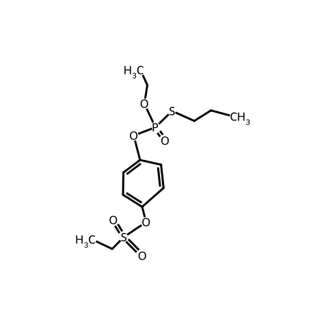 CCCSP(=O)(OCC)Oc1ccc(OS(=O)(=O)CC)cc1